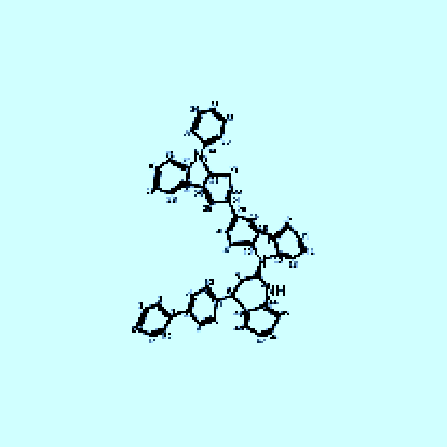 c1ccc(-c2ccc(C3CC(n4c5ccccc5c5cc(-c6ccc7c(c6)c6ccccc6n7-c6ccccc6)ccc54)Nc4ccccc43)cc2)cc1